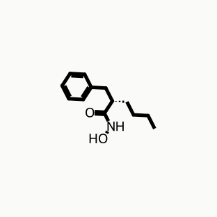 CCCC[C@@H](Cc1ccccc1)C(=O)NO